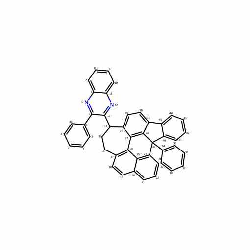 c1ccc(-c2nc3ccccc3nc2C2CCc3ccc4cccc5c4c3-c3c2ccc2c3C5(c3ccccc3)c3ccccc3-2)cc1